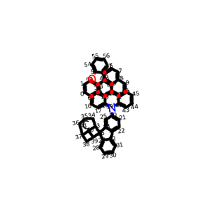 c1ccc(-c2cccc3cccc(-c4ccccc4N(c4ccc5c(c4)C4(c6ccccc6-5)C5CC6CC7CC4C75C6)c4ccccc4-c4ccc5oc6ccccc6c5c4)c23)cc1